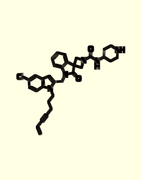 C=CC#CCCCn1c(CN2C(=O)C3(CN(C(=O)NC4CCNCC4)C3)c3ccccc32)cc2cc(Cl)ccc21